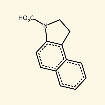 O=C(O)N1CCc2c1ccc1ccccc21